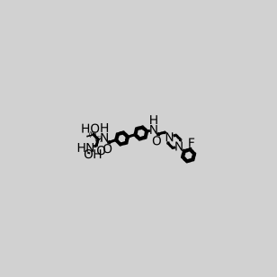 C[C@@H](O)[C@H](NC(=O)c1ccc(-c2ccc(NC(=O)CN3CCN(c4ccccc4F)CC3)cc2)cc1)C(=O)NO